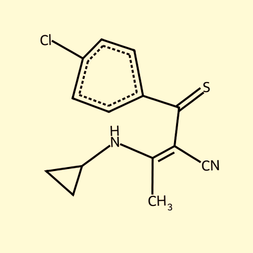 CC(NC1CC1)=C(C#N)C(=S)c1ccc(Cl)cc1